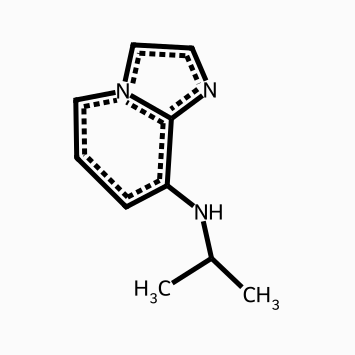 CC(C)Nc1cccn2ccnc12